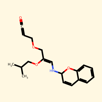 CC(C)COC(=CNC1C=Cc2ccccc2O1)COCC=C=O